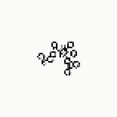 c1ccc(-n2c3ccccc3c3cc(-c4nc(-n5c6ccccc6c6cc7c(ccc8oc9ccccc9c87)cc65)nc5c6ccccc6c6ccccc6c45)ccc32)cc1